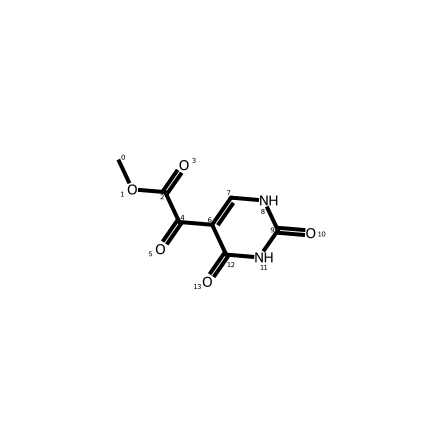 COC(=O)C(=O)c1c[nH]c(=O)[nH]c1=O